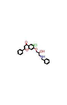 Cl.O=c1cc(-c2ccccc2)oc2cc(OCC(O)CNCc3ccccc3)ccc12